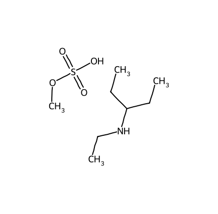 CCNC(CC)CC.COS(=O)(=O)O